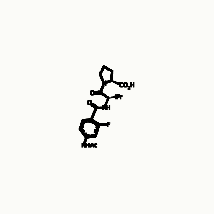 CC(=O)Nc1ccc(C(=O)N[C@H](C(=O)N2CCC[C@H]2C(=O)O)C(C)C)c(F)c1